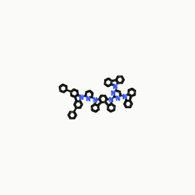 c1ccc(-c2ccc3c(c2)c2cc(-c4ccccc4)ccc2n3-c2cccc(-n3c4ccccc4c4c5c6ccccc6n(-c6nc(-n7c8ccccc8c8ccccc87)cc(-n7c8ccccc8c8ccccc87)n6)c5ccc43)n2)cc1